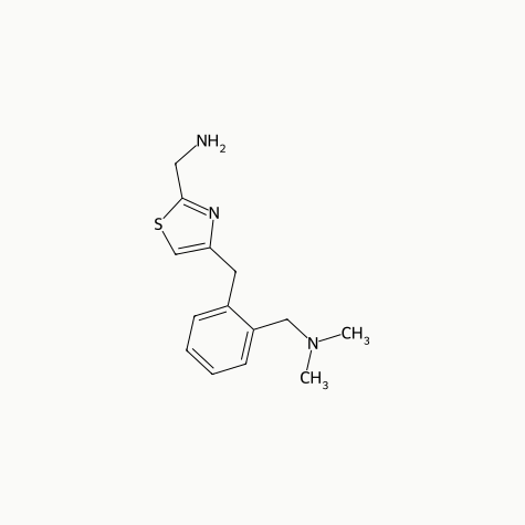 CN(C)Cc1ccccc1Cc1csc(CN)n1